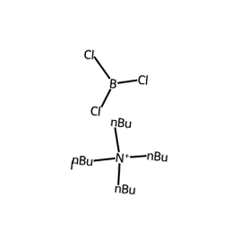 CCCC[N+](CCCC)(CCCC)CCCC.ClB(Cl)Cl.[I-]